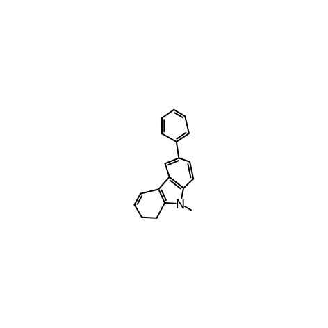 Cn1c2c(c3cc(-c4ccccc4)ccc31)C=CCC2